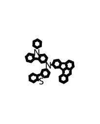 c1ccc(-n2c3ccccc3c3cc(N(c4ccc5c(c4)-c4c6ccccc6cc6cccc-5c46)c4ccc5sc6ccccc6c5c4)ccc32)cc1